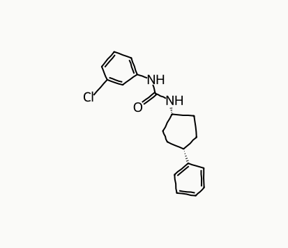 O=C(Nc1cccc(Cl)c1)N[C@H]1CC[C@@H](c2ccccc2)CC1